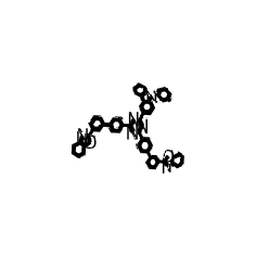 c1ccc(-n2c3ccccc3c3cc(-c4nc(-c5ccc(-c6cccc(-c7nc8ccccc8o7)c6)cc5)nc(-c5ccc(-c6cccc(-c7nc8ccccc8o7)c6)cc5)n4)ccc32)cc1